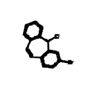 ClC1c2ccccc2C=Cc2ccc(Br)cc21